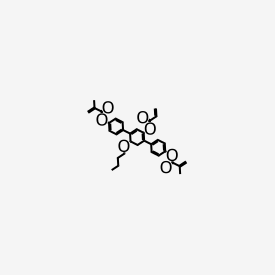 C=CC(=O)OC1=C(c2ccc(OC(=O)C(=C)C)cc2)CC(OCCCC)C(c2ccc(OC(=O)C(=C)C)cc2)=C1